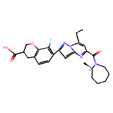 CCc1cc(C(=O)N2CCCCC[C@H]2C)nc2cc(-c3ccc4c(c3F)OCC(C(=O)O)C4)nn12